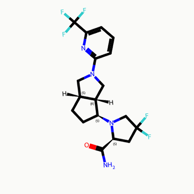 NC(=O)[C@@H]1CC(F)(F)CN1[C@H]1CC[C@@H]2CN(c3cccc(C(F)(F)F)n3)C[C@@H]21